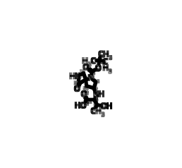 CC(O)[C@H](NC1CN(C(=O)OC(C)(C)C)C2(CNC2=O)C1)C(=O)O